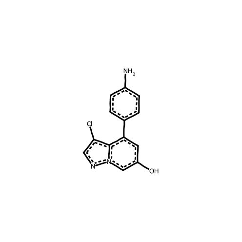 Nc1ccc(-c2cc(O)cn3ncc(Cl)c23)cc1